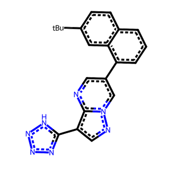 CC(C)(C)c1ccc2cccc(-c3cnc4c(-c5nnn[nH]5)cnn4c3)c2c1